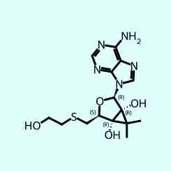 CC1(C)[C@]2(O)[C@H](n3cnc4c(N)ncnc43)O[C@H](CSCCO)[C@]12O